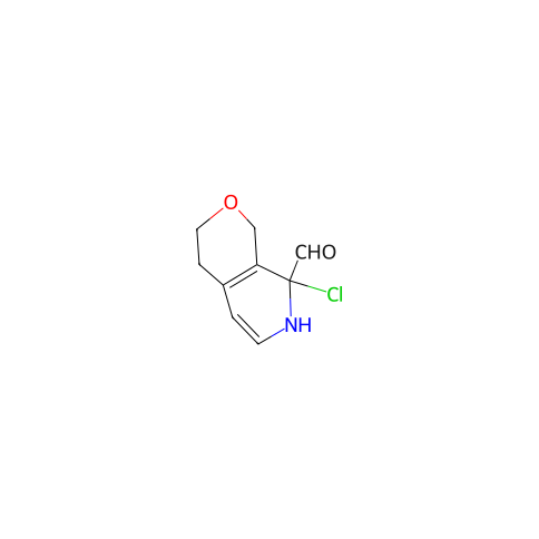 O=CC1(Cl)NC=CC2=C1COCC2